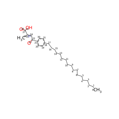 CCCCCCCCCCCCCCCCCCc1ccc(C(=O)/C=C(\C)C(=O)O)cc1